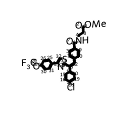 COC(=O)CCNC(=O)c1ccc(C=C(c2ccc(Cl)cc2)c2nc(-c3ccc(OC(F)(F)F)cc3)cs2)cc1